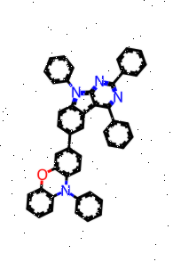 c1ccc(-c2nc(-c3ccccc3)c3c4cc(-c5ccc6c(c5)Oc5ccccc5N6c5ccccc5)ccc4n(-c4ccccc4)c3n2)cc1